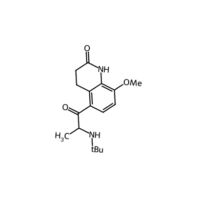 COc1ccc(C(=O)C(C)NC(C)(C)C)c2c1NC(=O)CC2